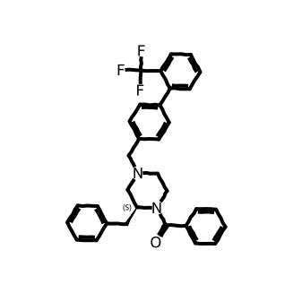 O=C(c1ccccc1)N1CCN(Cc2ccc(-c3ccccc3C(F)(F)F)cc2)C[C@@H]1Cc1ccccc1